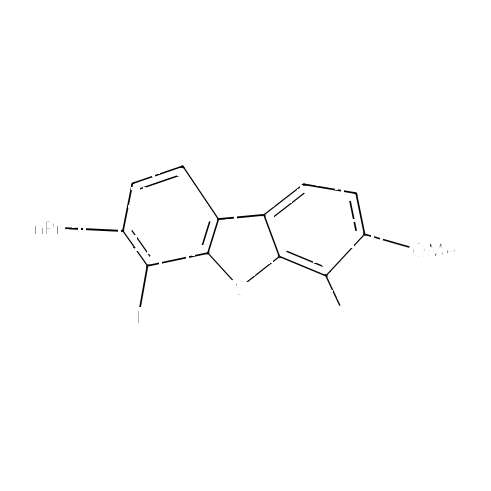 CCCc1ccc2c(sc3c(I)c(OC)ccc32)c1I